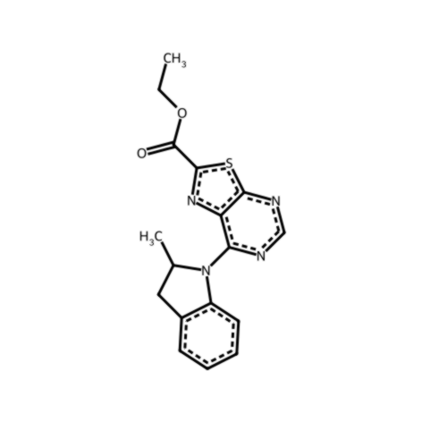 CCOC(=O)c1nc2c(N3c4ccccc4CC3C)ncnc2s1